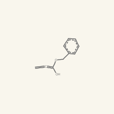 C=C=C(O)OCc1ccccc1